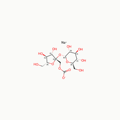 O=C([O-])OC[C@@]1(O[C@H]2O[C@H](CO)[C@@H](O)[C@H](O)[C@H]2O)O[C@H](CO)[C@@H](O)[C@@H]1O.[Na+]